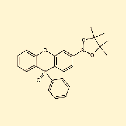 CC1(C)OB(c2ccc3c(c2)Oc2ccccc2P3(=O)c2ccccc2)OC1(C)C